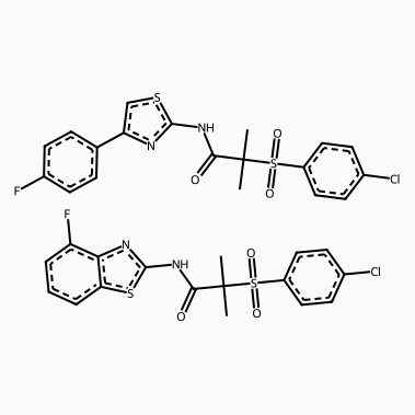 CC(C)(C(=O)Nc1nc(-c2ccc(F)cc2)cs1)S(=O)(=O)c1ccc(Cl)cc1.CC(C)(C(=O)Nc1nc2c(F)cccc2s1)S(=O)(=O)c1ccc(Cl)cc1